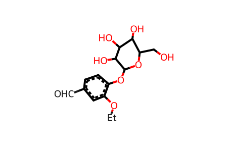 CCOc1cc(C=O)ccc1OC1OC(CO)C(O)C(O)C1O